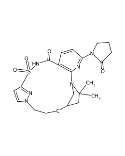 CC1(C)CC2CCCn3ccc(n3)S(=O)(=O)NC(=O)c3ccc(N4CCCC4=O)nc3N1C2